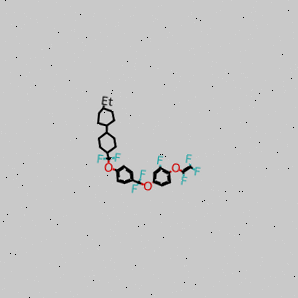 CCC1CCC(C2CCC(C(F)(F)Oc3ccc(C(F)(F)Oc4ccc(OC(F)=C(F)F)c(F)c4)cc3)CC2)CC1